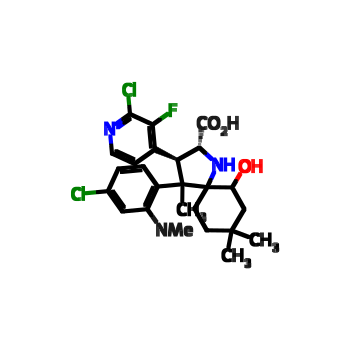 CNc1cc(Cl)ccc1C1(C)[C@@H](c2ccnc(Cl)c2F)[C@H](C(=O)O)NC12CCC(C)(C)CC2O